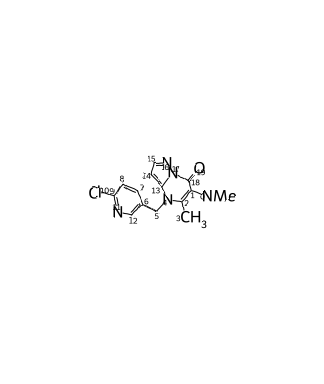 CNc1c(C)n(Cc2ccc(Cl)nc2)c2ccnn2c1=O